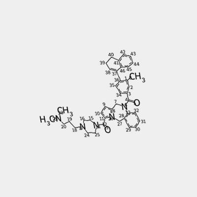 Cc1cc(C(=O)N2Cc3ccc(C(=O)N4CCN(CCCN(C)C)CC4)n3Cc3ccccc32)ccc1C1=CCCc2ccccc21